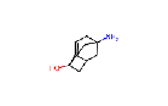 NC12CC=C3C(C1)CC3(O)C2